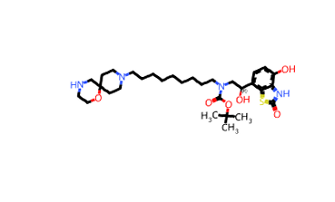 CC(C)(C)OC(=O)N(CCCCCCCCCN1CCC2(CC1)CNCCO2)C[C@H](O)c1ccc(O)c2[nH]c(=O)sc12